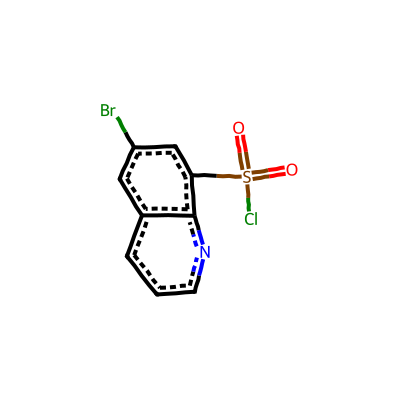 O=S(=O)(Cl)c1cc(Br)cc2cccnc12